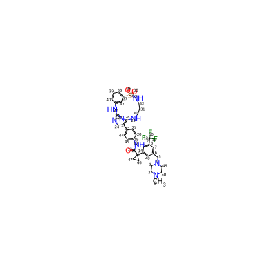 CN1CCN(Cc2cc(C(F)(F)F)cc(C3(C(=O)Nc4ccc(-c5cnc6nc5NCCCNS(=O)(=O)c5cccc(c5)N6)cc4)CC3)c2)CC1